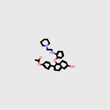 CC(=O)Oc1ccc(-c2ccc3cc(O)ccc3c2Oc2ccccc2NCCN2CCCCC2)cc1